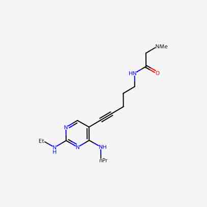 CCCNc1nc(NCC)ncc1C#CCCCNC(=O)CNC